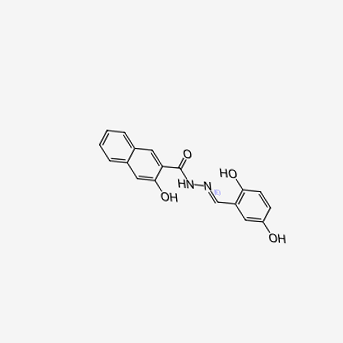 O=C(N/N=C/c1cc(O)ccc1O)c1cc2ccccc2cc1O